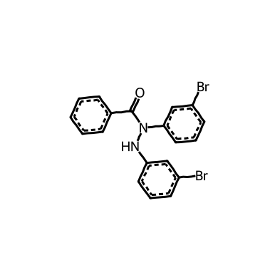 O=C(c1ccccc1)N(Nc1cccc(Br)c1)c1cccc(Br)c1